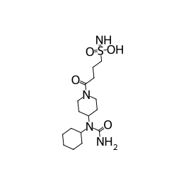 N=S(=O)(O)CCCC(=O)N1CCC(N(C(N)=O)C2CCCCC2)CC1